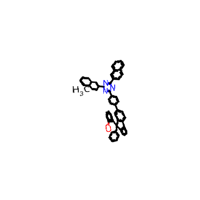 CC12C=CC=CC1C=C(c1nc(-c3ccc(-c4ccc5c(c4)C4(c6ccccc6Oc6ccccc64)c4ccccc4-5)cc3)nc(-c3ccc4ccccc4c3)n1)C=C2